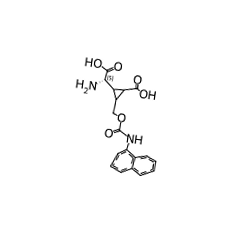 N[C@H](C(=O)O)C1C(COC(=O)Nc2cccc3ccccc23)C1C(=O)O